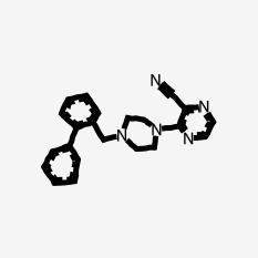 N#Cc1nccnc1N1CCN(Cc2ccccc2-c2ccccc2)CC1